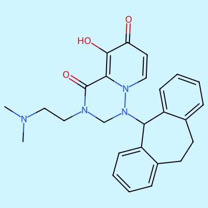 CN(C)CCN1CN(C2c3ccccc3CCc3ccccc32)n2ccc(=O)c(O)c2C1=O